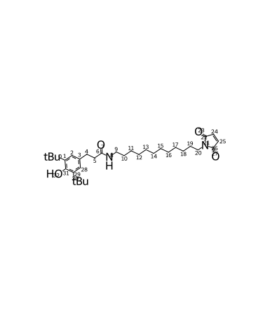 CC(C)(C)c1cc(CCC(=O)NCCCCCCCCCCCCN2C(=O)C=CC2=O)cc(C(C)(C)C)c1O